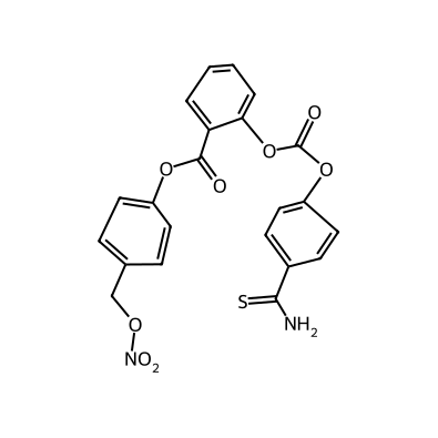 NC(=S)c1ccc(OC(=O)Oc2ccccc2C(=O)Oc2ccc(CO[N+](=O)[O-])cc2)cc1